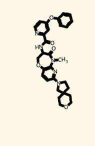 CN1C(=O)C(NC(=O)c2cc(Oc3ccccc3)ccn2)COc2ccc(N3CCC4(CCOCC4)C3)nc21